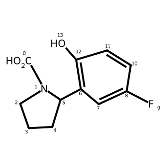 O=C(O)N1CCCC1c1cc(F)ccc1O